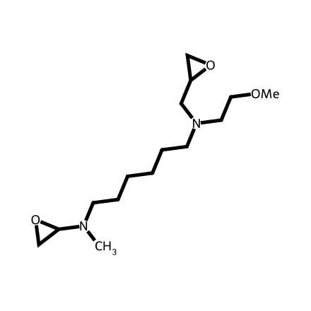 COCCN(CCCCCCN(C)C1CO1)CC1CO1